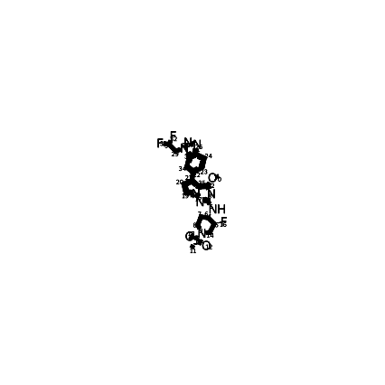 COc1nc(N[C@H]2CCN(S(C)(=O)=O)C[C@H]2F)nn2ccc(-c3ccc4nnn(CC(F)F)c4c3)c12